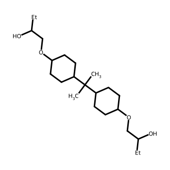 CCC(O)COC1CCC(C(C)(C)C2CCC(OCC(O)CC)CC2)CC1